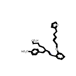 O=C(O)CCCCC(/C=C/c1ccccc1OCCCCCc1ccco1)Cc1ccc(C(=O)O)cc1